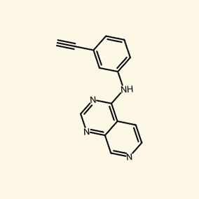 C#Cc1cccc(Nc2ncnc3cnccc23)c1